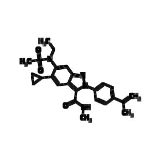 C=C(C)c1ccc(-n2nc3cc(N(CC)S(C)(=O)=O)c(C4CC4)cc3c2C(=O)NC)cc1